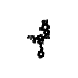 NC(=O)c1cnc(Nc2ccc3c(c2)NC[C@H](O)CO3)nc1NCCCN1CCOCC1